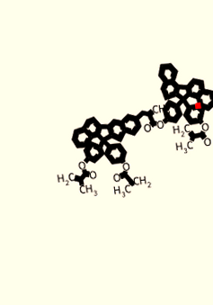 C=C(C)C(=O)Oc1ccc(C2(c3ccc(OC(=O)C(=C)C)cc3)c3cc4ccc(CC(=C)C(=O)Oc5ccc(C6(c7ccc(OC(=O)C(=C)C)cc7)c7ccc8ccccc8c7-c7ccc8ccccc8c76)cc5)cc4cc3-c3ccc4ccccc4c32)cc1